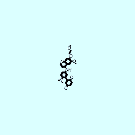 COCCOc1cc2nccc(Nc3ccc(N(C)C)c(C4=CC(=O)C=CC4=O)c3)c2cc1OC